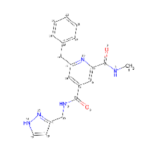 CNC(=O)c1cc(C(=O)NCc2cc[nH]n2)cc(Cc2ccccc2)n1